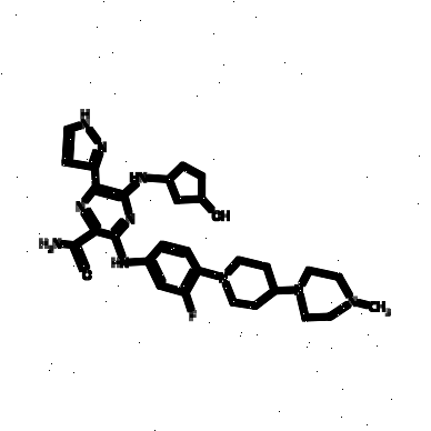 CN1CCN(C2CCN(c3ccc(Nc4nc(NC5CCC(O)C5)c(-c5cc[nH]n5)nc4C(N)=O)cc3F)CC2)CC1